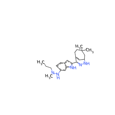 CCCN(C)Nc1ccc2cc(C3=NNC4C=C3CCC(C)(C)C4)[nH]c2c1